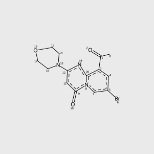 CC(=O)c1cc(Br)cn2c(=O)cc(N3CCOCC3)nc12